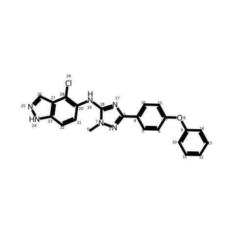 Cn1nc(-c2ccc(Oc3ccccc3)cc2)nc1Nc1ccc2[nH]ncc2c1Cl